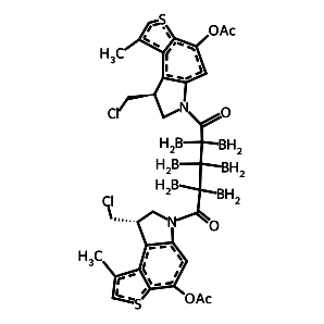 BC(B)(C(=O)N1C[C@@H](CCl)c2c1cc(OC(C)=O)c1scc(C)c21)C(B)(B)C(B)(B)C(=O)N1C[C@@H](CCl)c2c1cc(OC(C)=O)c1scc(C)c21